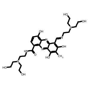 Cc1c(O)c(C=NCCN(CCO)CCO)c2nc3c(O)ccc(C(=O)NCCN(CCO)CCO)c3nc2c1O